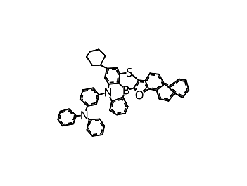 c1ccc(N(c2ccccc2)c2cccc(N3c4ccccc4B4c5oc6c(ccc7c8ccccc8ccc76)c5Sc5cc(C6CCCCC6)cc3c54)c2)cc1